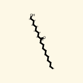 CCCCCCCCCCC(=O)CCCCCCCO